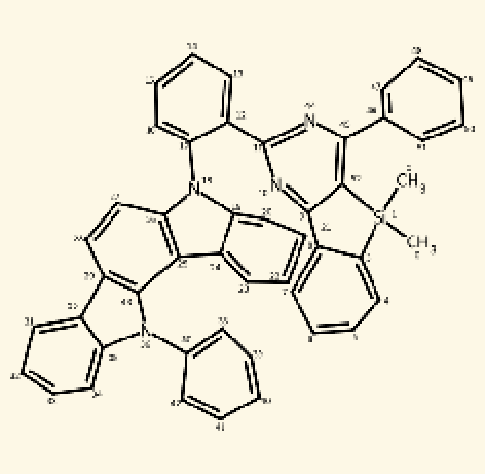 C[Si]1(C)c2ccccc2-c2nc(-c3ccccc3-n3c4ccccc4c4c3ccc3c5ccccc5n(-c5ccccc5)c34)nc(-c3ccccc3)c21